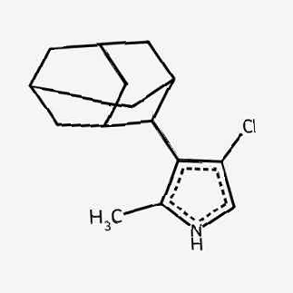 Cc1[nH]cc(Cl)c1C1C2CC3CC(C2)CC1C3